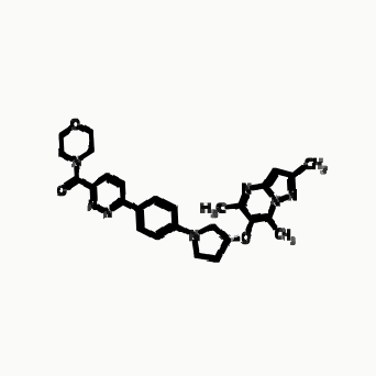 Cc1cc2nc(C)c(O[C@@H]3CCN(c4ccc(-c5ccc(C(=O)N6CCOCC6)nn5)cc4)C3)c(C)n2n1